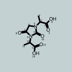 CC(C(=O)O)N1CC(=O)N(C(C)C(=O)O)C1=O